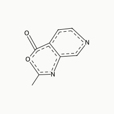 Cc1nc2cnccc2c(=O)o1